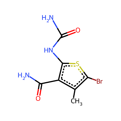 Cc1c(Br)sc(NC(N)=O)c1C(N)=O